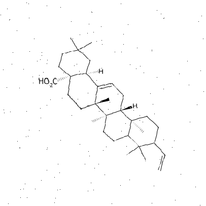 C=CC1CC[C@@]2(C)C(CC[C@]3(C)[C@@H]2CC=C2[C@@H]4CC(C)(C)CC[C@]4(C(=O)O)CC[C@]23C)C1(C)C